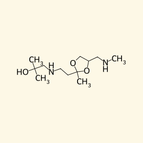 CNCC1COC(C)(CCNCC(C)(C)O)O1